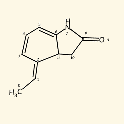 CC=C1C=CC=C2NC(=O)CC12